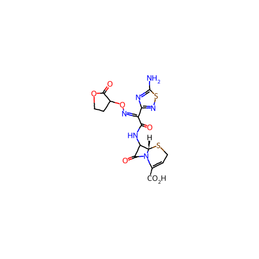 Nc1nc(C(=NOC2CCOC2=O)C(=O)NC2C(=O)N3C(C(=O)O)=CCS[C@@H]23)ns1